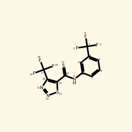 FC(F)(F)c1cccc(NC(=S)c2snnc2C(F)(F)F)c1